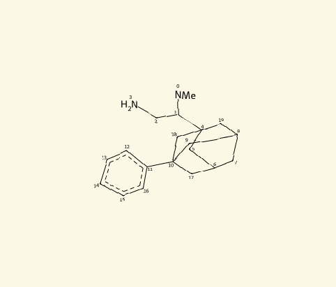 CNC(CN)C12CC3CC(CC(c4ccccc4)(C3)C1)C2